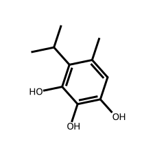 Cc1cc(O)c(O)c(O)c1C(C)C